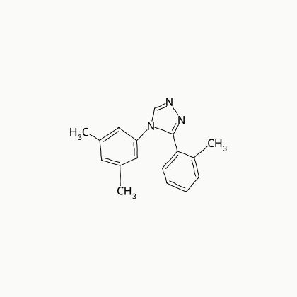 Cc1cc(C)cc(-n2cnnc2-c2ccccc2C)c1